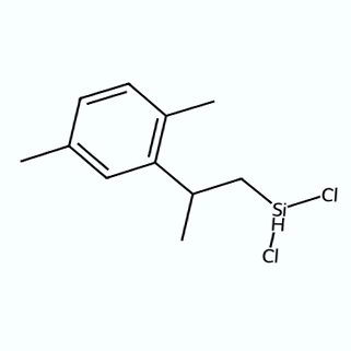 Cc1ccc(C)c(C(C)C[SiH](Cl)Cl)c1